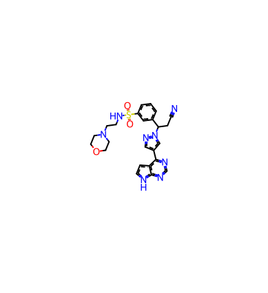 N#CCC(c1cccc(S(=O)(=O)NCCN2CCOCC2)c1)n1cc(-c2ncnc3[nH]ccc23)cn1